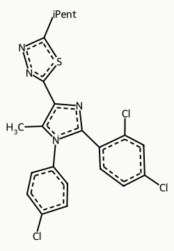 CCCC(C)c1nnc(-c2nc(-c3ccc(Cl)cc3Cl)n(-c3ccc(Cl)cc3)c2C)s1